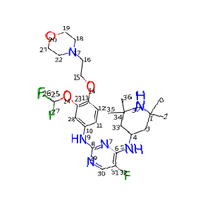 CC1(C)CC(Nc2nc(Nc3ccc(OCCN4CCOCC4)c(OC(F)F)c3)ncc2F)CC(C)(C)N1